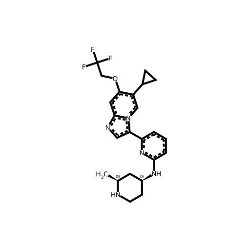 C[C@H]1C[C@@H](Nc2cccc(-c3cnc4cc(OCC(F)(F)F)c(C5CC5)cn34)n2)CCN1